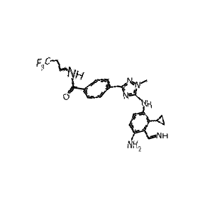 Cn1nc(-c2ccc(C(=O)NCCC(F)(F)F)cc2)nc1Nc1ccc(N)c(C=N)c1C1CC1